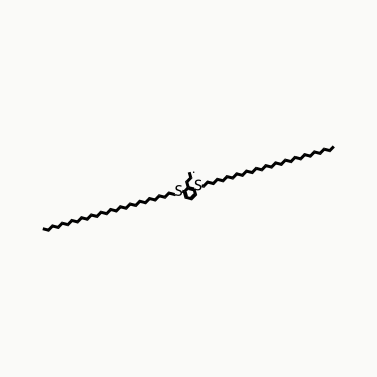 [CH2]CCc1c(SCCCCCCCCCCCCCCCCCCCCCCCCCCCC)cccc1SCCCCCCCCCCCCCCCCCCCCCCCCCCCC